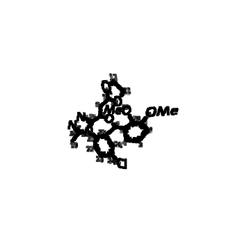 COc1cccc(C2OC(CC3OCCO3)c3nnc(C)n3-c3ccc(Cl)cc32)c1OC